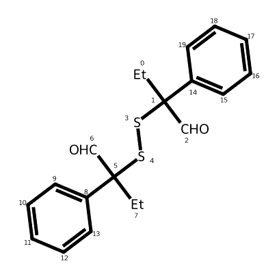 CCC(C=O)(SSC(C=O)(CC)c1ccccc1)c1ccccc1